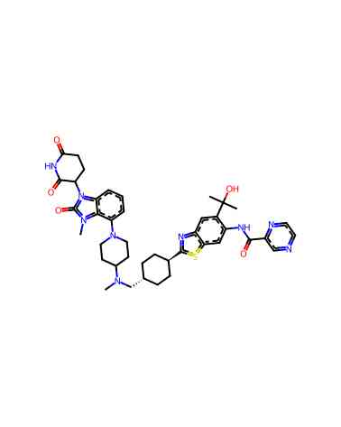 CN(C[C@H]1CC[C@H](c2nc3cc(C(C)(C)O)c(NC(=O)c4cnccn4)cc3s2)CC1)C1CCN(c2cccc3c2n(C)c(=O)n3C2CCC(=O)NC2=O)CC1